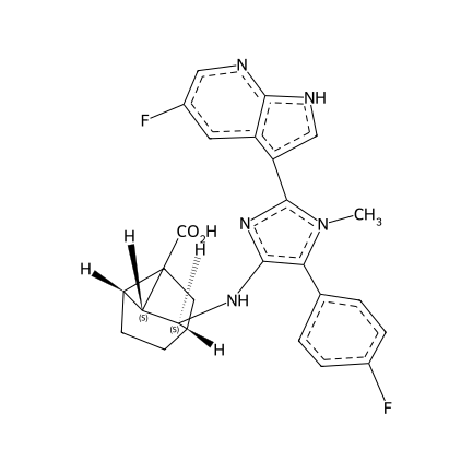 Cn1c(-c2c[nH]c3ncc(F)cc23)nc(N[C@H]2[C@H]3CC[C@H](CC3)[C@@H]2C(=O)O)c1-c1ccc(F)cc1